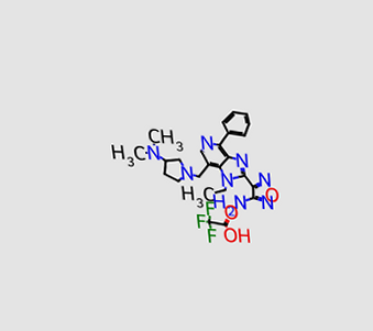 CCn1c(-c2nonc2N)nc2c(-c3ccccc3)ncc(CN3CCC(N(C)C)C3)c21.O=C(O)C(F)(F)F